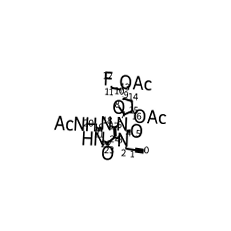 C#CCn1c(=O)n([C@@H]2O[C@H](C(CF)OC(C)=O)C[C@H]2OC(C)=O)c2nc(NC(C)=O)[nH]c(=O)c21